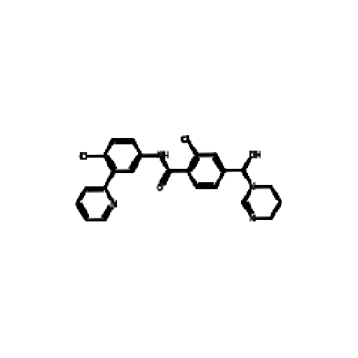 O=C(Nc1ccc(Cl)c(-c2ccccn2)c1)c1ccc(C(O)N2C=NCCC2)cc1Cl